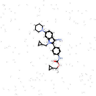 C[C@@H](OC(=O)Nc1ccc(-c2c(N)c3ccc(N4CCCCC4)cc3n2CC2CC2)cc1)C1CC1